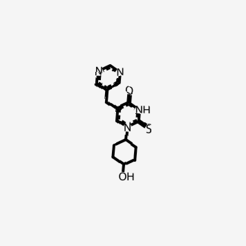 O=c1[nH]c(=S)n(C2CCC(O)CC2)cc1Cc1cncnc1